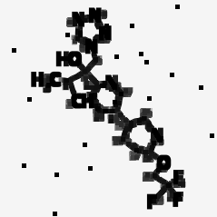 CC(C)C(O)(Cn1cnnn1)c1ccc(-c2ccc(OCC(F)(F)F)nc2)cn1